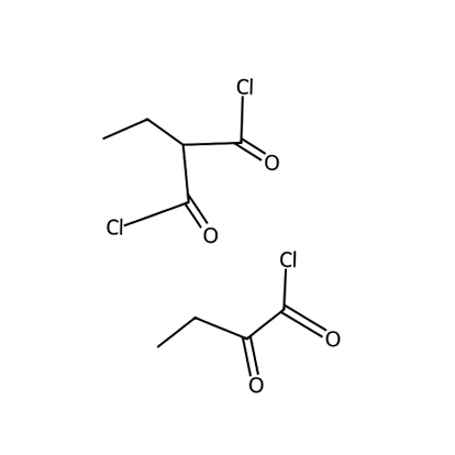 CCC(=O)C(=O)Cl.CCC(C(=O)Cl)C(=O)Cl